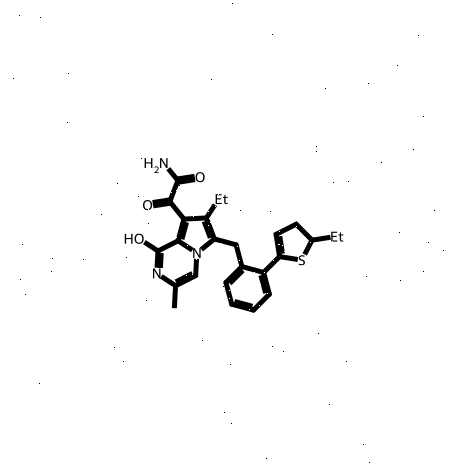 CCc1c(C(=O)C(N)=O)c2c(O)nc(C)cn2c1Cc1ccccc1C1=CCC(CC)S1